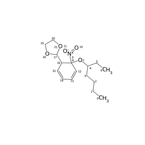 CCCCC(CC)OC1([N+](=O)[O-])C=CC=CC1C1OCCO1